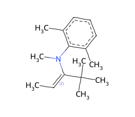 C/C=C(\N(C)c1c(C)cccc1C)C(C)(C)C